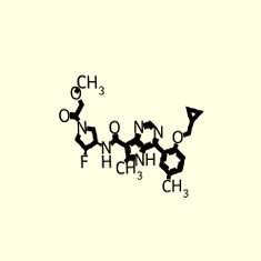 COCC(=O)N1C[C@H](F)[C@H](NC(=O)c2c(C)[nH]c3c(-c4cc(C)ccc4OCC4CC4)ncnc23)C1